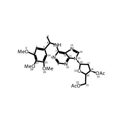 COc1cc(C(C)Nc2ncnc3c2ncn3[C@H]2C[C@@H](OC(C)=O)C(COC(C)=O)O2)cc(OC)c1OC